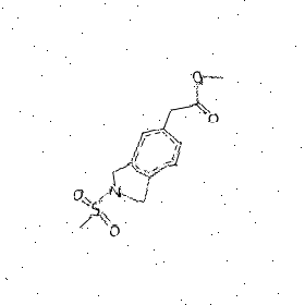 COC(=O)Cc1ccc2c(c1)CN(S(C)(=O)=O)C2